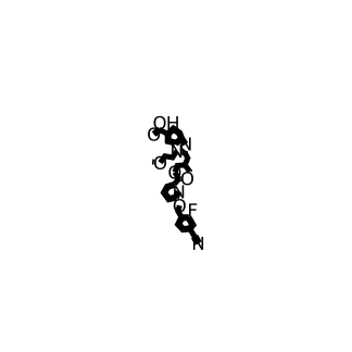 COCCn1c(CC2COC(c3cccc(OCc4ccc(C#N)cc4F)n3)OC2)nc2ccc(C(=O)O)cc21